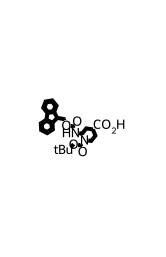 CC(C)(C)OC(=O)N1CCC(C(=O)O)CC1NC(=O)OCC1c2ccccc2-c2ccccc21